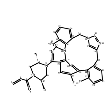 C=CC(=O)N1C[C@H](C)N(c2nc(=O)n3c4nc(c(F)cc24)-c2c(F)cccc2Cc2cn(nn2)Cc2cccc(C(C)C)c2-3)C[C@H]1C